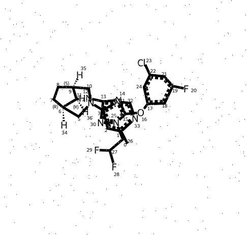 Cc1cc(N2C[C@H]3CC[C@@H](C2)[C@H]3Nc2nc(Oc3cc(F)cc(Cl)c3)n(CC(F)F)n2)ncn1